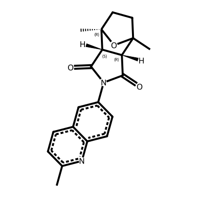 Cc1ccc2cc(N3C(=O)[C@@H]4[C@H](C3=O)[C@@]3(C)CCC4(C)O3)ccc2n1